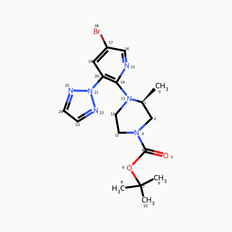 C[C@H]1CN(C(=O)OC(C)(C)C)CCN1c1ncc(Br)cc1-n1nccn1